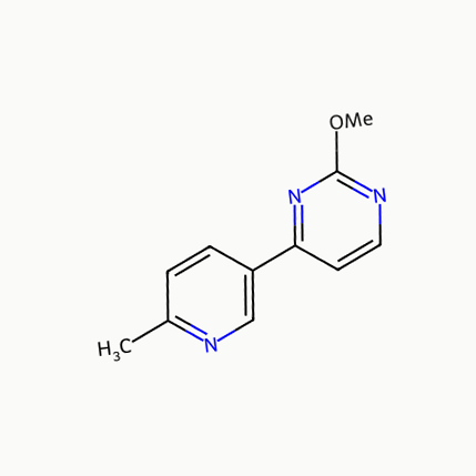 COc1nccc(-c2ccc(C)nc2)n1